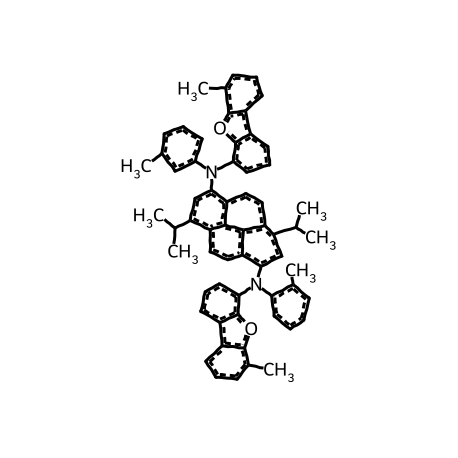 Cc1cccc(N(c2cc(C(C)C)c3ccc4c(N(c5ccccc5C)c5cccc6c5oc5c(C)cccc56)cc(C(C)C)c5ccc2c3c54)c2cccc3c2oc2c(C)cccc23)c1